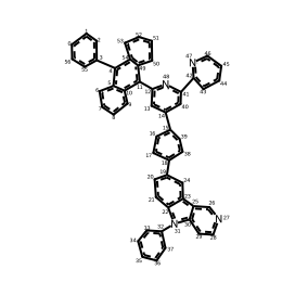 c1ccc(-c2c3ccccc3c(-c3cc(-c4ccc(-c5ccc6c(c5)c5cnccc5n6-c5ccccc5)cc4)cc(-c4ccccn4)n3)c3ccccc23)cc1